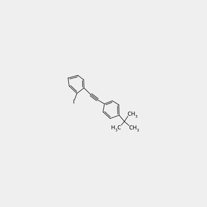 CC(C)(C)c1ccc(C#Cc2ccccc2I)cc1